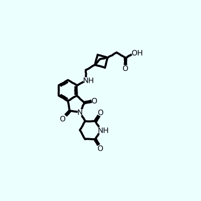 O=C(O)CC12CC(CNc3cccc4c3C(=O)N(C3CCC(=O)NC3=O)C4=O)(C1)C2